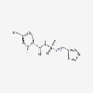 Cc1cc(Br)ccc1C(=O)NS(=O)(=O)/C=C/c1ccsc1